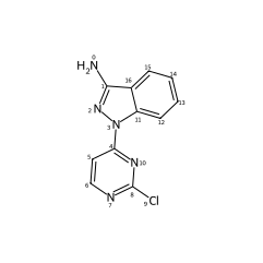 Nc1nn(-c2ccnc(Cl)n2)c2ccccc12